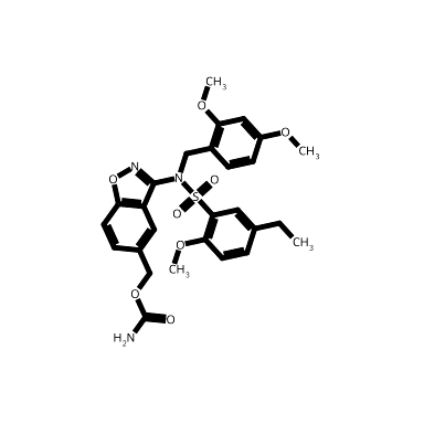 CCc1ccc(OC)c(S(=O)(=O)N(Cc2ccc(OC)cc2OC)c2noc3ccc(COC(N)=O)cc23)c1